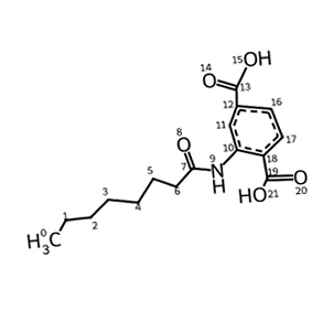 CCCCCCCC(=O)Nc1cc(C(=O)O)ccc1C(=O)O